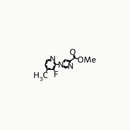 COC(=O)c1cn(-c2nccc(C)c2F)cn1